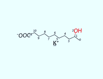 CC(O)CCCCCCCCC(=O)[O-].[K+]